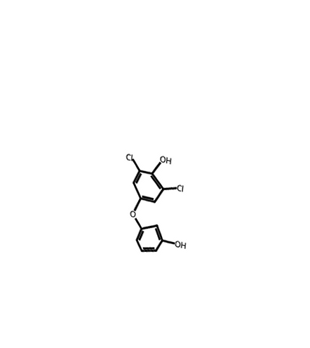 Oc1cccc(Oc2cc(Cl)c(O)c(Cl)c2)c1